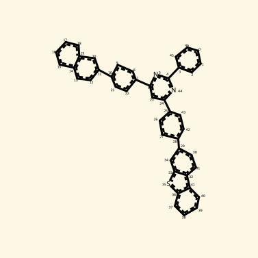 c1ccc(-c2nc(-c3ccc(-c4ccc5ccccc5c4)cc3)cc(-c3ccc(-c4ccc5c(c4)sc4ccccc45)cc3)n2)cc1